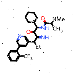 CCC(C(=N)C(=O)C(NC(=O)C(C)NC)C1CCCCC1)c1cncc(-c2ccccc2C(F)(F)F)c1